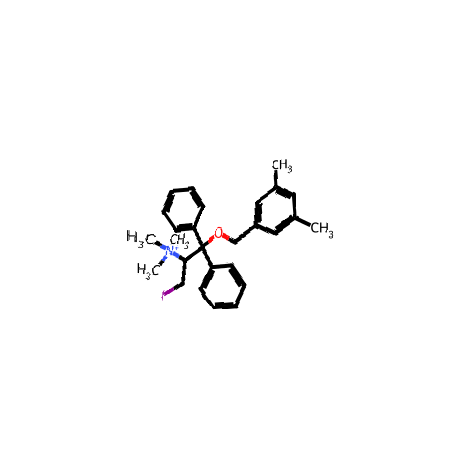 Cc1cc(C)cc(COC(c2ccccc2)(c2ccccc2)C(CI)[N+](C)(C)C)c1